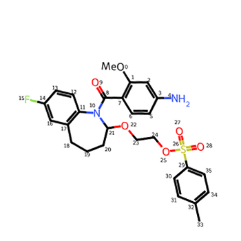 COc1cc(N)ccc1C(=O)N1c2ccc(F)cc2CCCC1OCCOS(=O)(=O)c1ccc(C)cc1